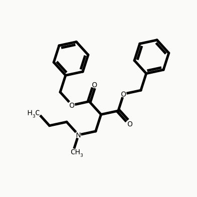 CCCN(C)CC(C(=O)OCc1ccccc1)C(=O)OCc1ccccc1